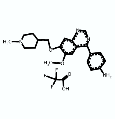 COc1cc2c(-c3ccc(N)cc3)ncnc2cc1OCC1CCN(C)CC1.O=C(O)C(F)(F)F